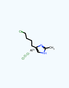 Cc1nc(CCCCCl)c[nH]1.[Al+3].[Cl-].[Cl-].[Cl-]